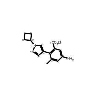 CCOC(=O)c1cc(N)cc(C)c1-c1cnn(C2CCC2)c1